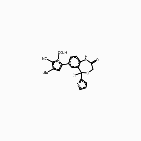 CCC1(c2cccs2)OCC(=O)Nc2ccc(-c3cc(C(C)(C)C)c(C#N)n3C(=O)O)cc21